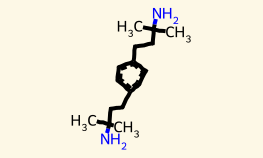 CC(C)(N)CCc1ccc(CCC(C)(C)N)cc1